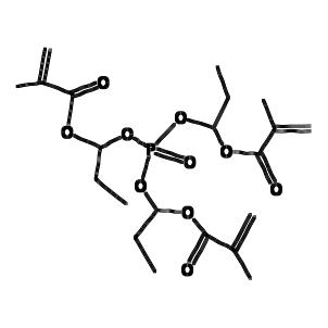 C=C(C)C(=O)OC(CC)OP(=O)(OC(CC)OC(=O)C(=C)C)OC(CC)OC(=O)C(=C)C